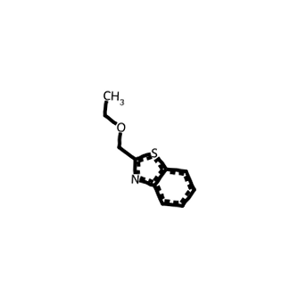 CCOCc1nc2ccccc2s1